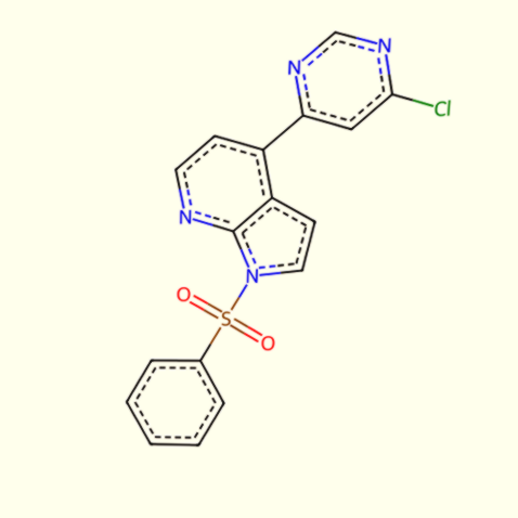 O=S(=O)(c1ccccc1)n1ccc2c(-c3cc(Cl)ncn3)ccnc21